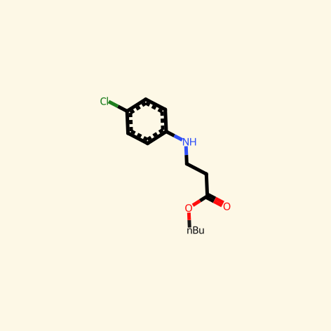 CCCCOC(=O)CCNc1ccc(Cl)cc1